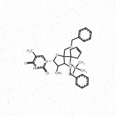 CC(=O)OC1C(OCc2ccccc2)C(COCc2ccccc2)(C2(O[Si](C)(C)C(C)(C)C)CC=CC2)O[C@H]1n1cc(C)c(=O)[nH]c1=O